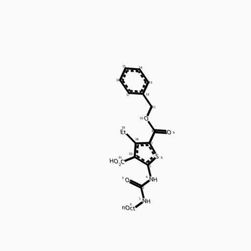 CCCCCCCCNC(=O)Nc1sc(C(=O)OCc2ccccc2)c(CC)c1C(=O)O